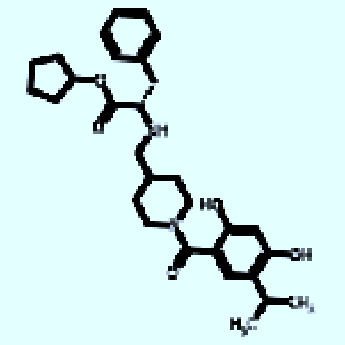 CC(C)c1cc(C(=O)N2CCC(CN[C@@H](Cc3ccccc3)C(=O)OC3CCCC3)CC2)c(O)cc1O